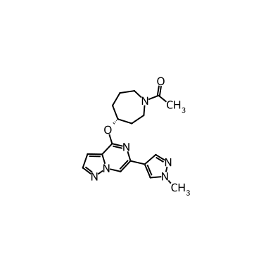 CC(=O)N1CCC[C@@H](Oc2nc(-c3cnn(C)c3)cn3nccc23)CC1